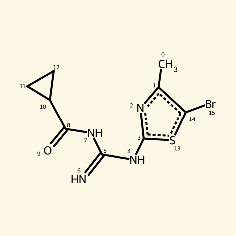 Cc1nc(NC(=N)NC(=O)C2CC2)sc1Br